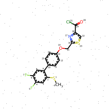 CSc1cc(F)c(F)cc1-c1ccc(OCc2nc(C(=O)Cl)cs2)cc1